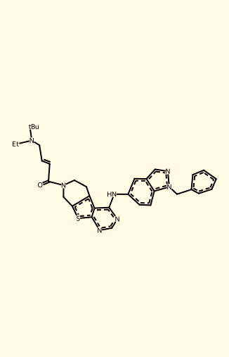 CCN(C/C=C/C(=O)N1CCc2c(sc3ncnc(Nc4ccc5c(cnn5Cc5ccccc5)c4)c23)C1)C(C)(C)C